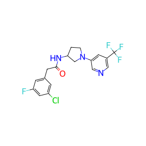 O=C(Cc1cc(F)cc(Cl)c1)NC1CCN(c2cncc(C(F)(F)F)c2)C1